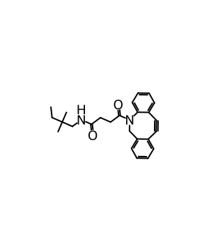 CCC(C)(C)CNC(=O)CCC(=O)N1Cc2ccccc2C#Cc2ccccc21